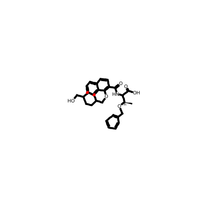 C[C@@H](OCc1ccccc1)C(NC(=O)c1ccc2ccccc2c1OCC1CCC(CO)CC1)C(=O)O